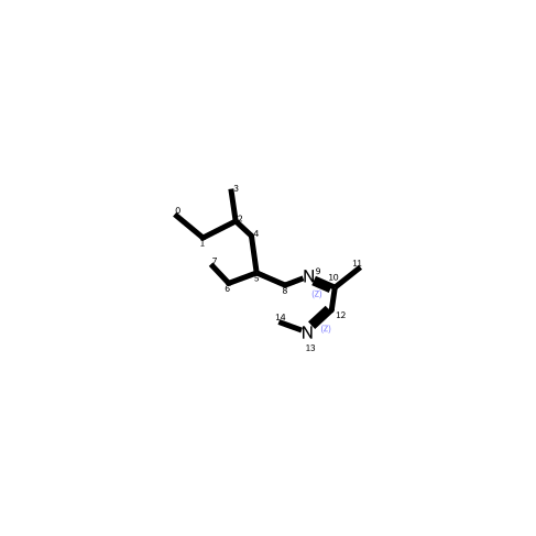 CCC(C)CC(CC)C/N=C(C)\C=N/C